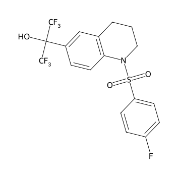 O=S(=O)(c1ccc(F)cc1)N1CCCc2cc(C(O)(C(F)(F)F)C(F)(F)F)ccc21